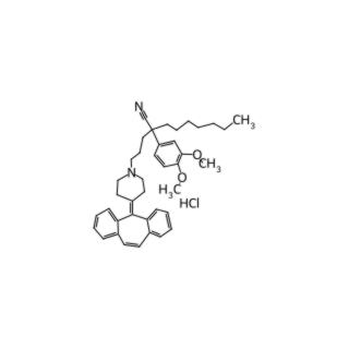 CCCCCCCC(C#N)(CCCN1CCC(=C2c3ccccc3C=Cc3ccccc32)CC1)c1ccc(OC)c(OC)c1.Cl